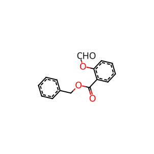 O=COc1ccccc1C(=O)OCc1ccccc1